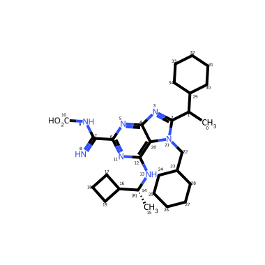 CC(c1nc2nc(C(=N)NC(=O)O)nc(N[C@H](C)C3CCC3)c2n1CC1CCCCC1)C1CCCCC1